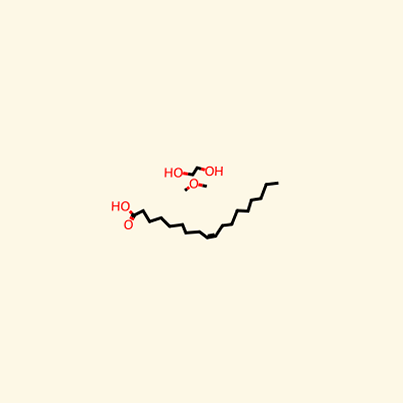 CCCCCCCC/C=C\CCCCCCCC(=O)O.COC.OCCO